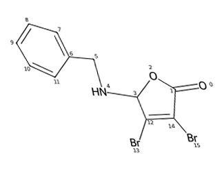 O=C1OC(NCc2ccccc2)C(Br)=C1Br